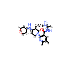 COC1CN(c2nc(C)c(C)cc2C(=O)NC(C)N)CCC1NC1CCOCC1